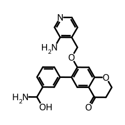 Nc1cnccc1COc1cc2c(cc1-c1cccc(C(N)O)c1)C(=O)CCO2